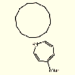 C1CCCCCCCCCCC1.CCCCCCCCCC1=CC=CNC=C1